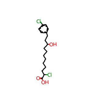 O=C(O)C(Cl)CCCCCCCC(O)CCc1ccc(Cl)cc1